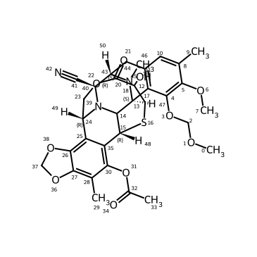 COCOc1c(OC)c(C)cc2c1[C@H]1C3[C@@H]4SCC(O)C(=O)OC[C@@H](c5c6c(c(C)c(OC(C)=O)c54)OCO6)N3[C@@H](C#N)[C@H](C2)N1C